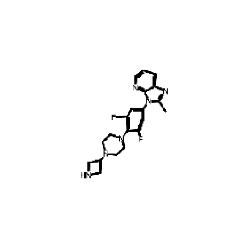 Cc1nc2cccnc2n1-c1cc(F)c(N2CCN(C3CNC3)CC2)c(F)c1